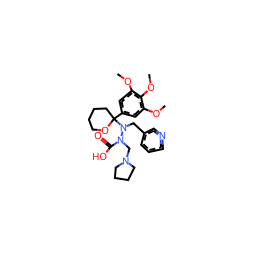 COc1cc(C2(N(Cc3cccnc3)N(CN3CCCC3)C(=O)O)CCCCO2)cc(OC)c1OC